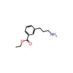 CCOC(=O)c1cccc(CCCN)c1